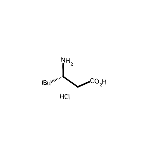 CCC(C)[C@H](N)CC(=O)O.Cl